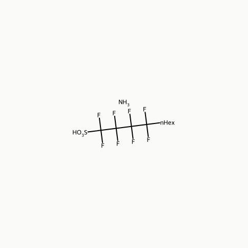 CCCCCCC(F)(F)C(F)(F)C(F)(F)C(F)(F)S(=O)(=O)O.N